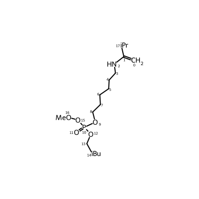 C=C(NCCCCCCOP(=O)(OCC(C)CC)OOC)C(C)C